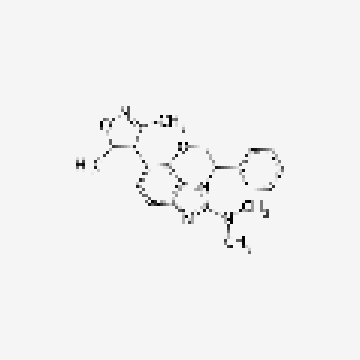 CC1=NOC(C)C1c1ccc2nc(N(C)C)n3c2c1OCC3c1ccccc1